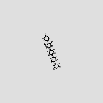 Cc1ccc(-c2c(C)nc(-c3ccc(-c4cnc(-c5ccccc5)nc4)cc3)nc2C)cc1